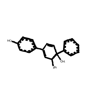 CC(C)C1C=C(c2ccc(O)cc2)C=CC1(O)c1ccccc1